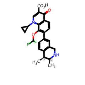 C[C@@H]1NCc2cc(-c3ccc4c(=O)c(C(=O)O)cn(C5CC5)c4c3OC(F)F)ccc2[C@@H]1C